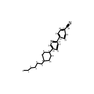 CCCCCCC1CCC(c2ccc(-c3ccc(C#N)cc3)nc2)CC1